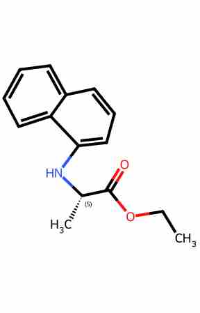 CCOC(=O)[C@H](C)Nc1cccc2ccccc12